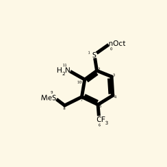 CCCCCCCCSc1ccc(C(F)(F)F)c(CSC)c1N